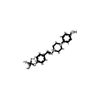 Oc1ccc(N2CCN(N=Cc3ccc(OC(F)(F)F)cc3)CC2)cc1